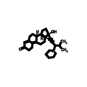 CC(C)C(C#C[C@]1(O)CC[C@H]2[C@@H]3CCC4=CC(=O)CCC4=C3CC[C@@]21C)N1CCCCC1